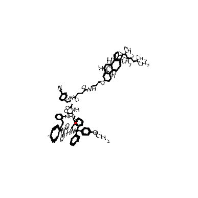 COc1ccc(C(NCCCC[C@H](NC(=O)C[C@H](Cc2ccc(C#N)cc2)NC(=O)CCC(=O)NCCCOC2CC[C@@]3(C)C(=CC[C@H]4[C@@H]5CC[C@H]([C@H](C)CCCC(C)C)[C@@]5(C)CC[C@@H]43)C2)C(=O)Nc2ccccc2CC2([N+](=O)[O-])C=C[CH]C=C2)(c2ccccc2)c2ccccc2)cc1